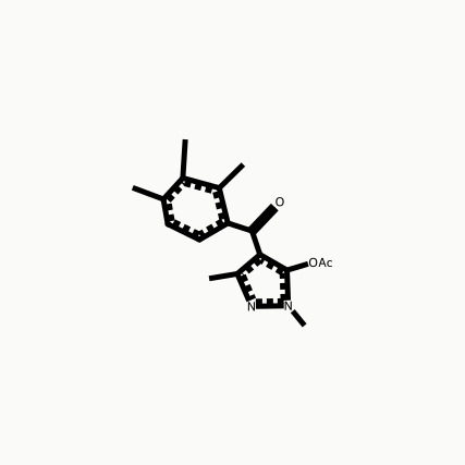 CC(=O)Oc1c(C(=O)c2ccc(C)c(C)c2C)c(C)nn1C